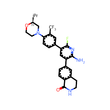 CC(C)[C@H]1CN(c2ccc(-c3cc(-c4ccc5c(c4)CCNC5=O)c(N)nc3F)cc2C(F)(F)F)CCO1